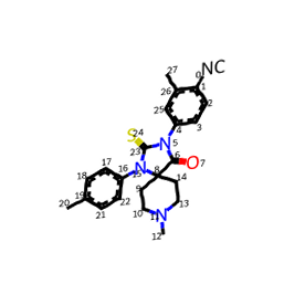 [C-]#[N+]c1ccc(N2C(=O)C3(CCN(C)CC3)N(c3ccc(C)cc3)C2=S)cc1C